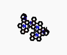 c1ccc(-c2cccc(-c3ccccc3)c2N2c3ccccc3B3c4cc5c(cc4N(c4ccccc4)c4cc(N6CC7CC8CC7CC6C8)cc2c43)N(c2c(-c3ccccc3)cccc2-c2ccccc2)c2cc(N3CC4CC6CC3C[C@H]4C6)cc3c2B5c2ccccc2N3c2c(-c3ccccc3)cccc2-c2ccccc2)cc1